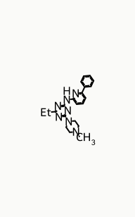 CCc1nc(Nc2cccc(-c3ccccc3)n2)nc(N2CCN(C)CC2)n1